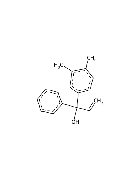 C=CC(O)(c1ccccc1)c1ccc(C)c(C)c1